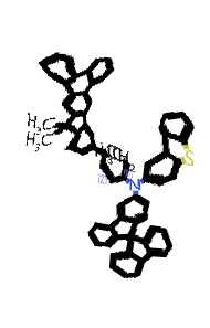 C=C(/C=C\C(=C/C)N(c1ccc2c(c1)-c1ccccc1C21c2ccccc2-c2ccccc21)c1ccc2sc3ccccc3c2c1)c1ccc2c(c1)-c1cc3c4ccccc4c4ccccc4c3cc1C2(C)C